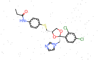 CCC(=O)Nc1ccc(SC[C@@H]2CO[C@@](Cn3ccnc3)(c3ccc(Cl)cc3Cl)O2)cc1